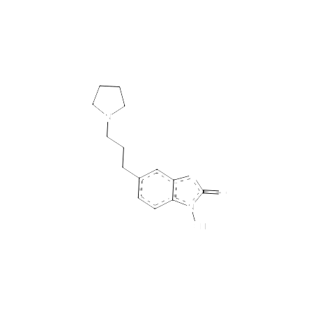 Cn1c(=O)sc2cc(CCCN3CCCC3)ccc21